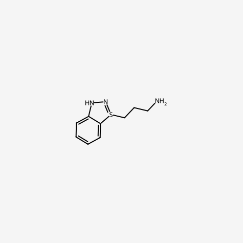 NCCCS1=NNc2ccccc21